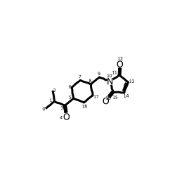 CC(C)C(=O)C1CCC(CN2C(=O)C=CC2=O)CC1